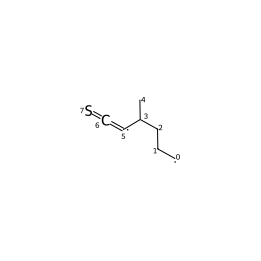 [CH2]CCC(C)[C]=C=S